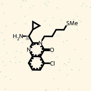 CSCCCCn1c([C@@H](N)C2CC2)nc2cccc(Cl)c2c1=O